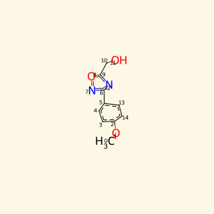 COc1ccc(-c2noc(CO)n2)cc1